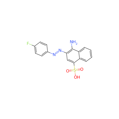 Nc1c(/N=N/c2ccc(F)cc2)cc(S(=O)(=O)O)c2ccccc12